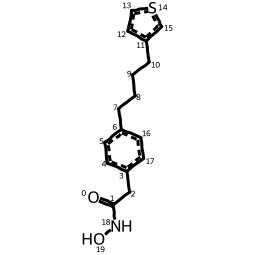 O=C(Cc1ccc(CCCCc2ccsc2)cc1)NO